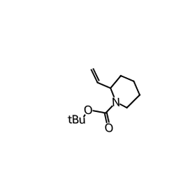 C=CC1CCCCN1C(=O)OC(C)(C)C